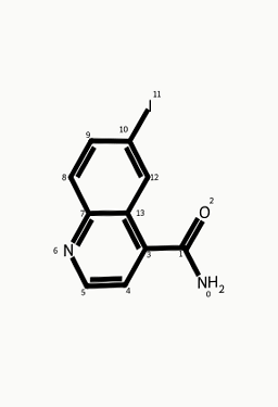 NC(=O)c1ccnc2ccc(I)cc12